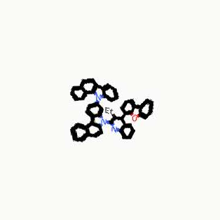 CCC1C(n2c3cc(-n4c5ccccc5c5ccc6ccccc6c54)ccc3c3c4ccccc4ccc32)=Nc2ccccc2C1c1cccc2c1oc1ccccc12